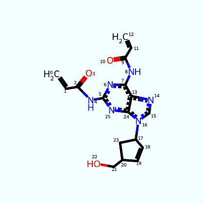 C=CC(=O)Nc1nc(NC(=O)C=C)c2ncn(C3C=CC(CO)C3)c2n1